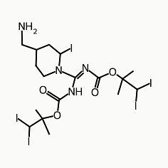 CC(C)(OC(=O)N=C(NC(=O)OC(C)(C)C(I)I)N1CCC(CN)CC1I)C(I)I